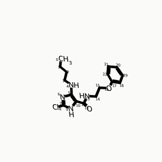 CCCCNc1nc(Cl)[nH]c1C(=O)NCCOc1ccccc1